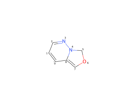 [C]1=CC=NN2COC=C12